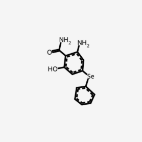 NC(=O)c1c(N)cc([Se]c2ccccc2)cc1O